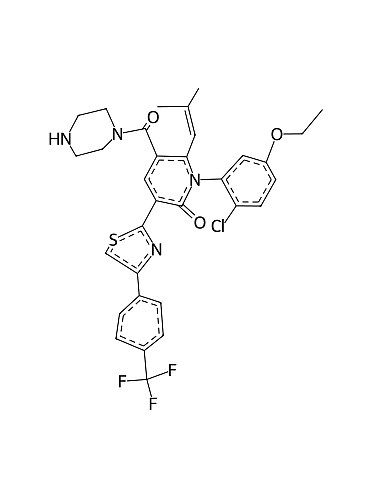 CCOc1ccc(Cl)c(-n2c(C=C(C)C)c(C(=O)N3CCNCC3)cc(-c3nc(-c4ccc(C(F)(F)F)cc4)cs3)c2=O)c1